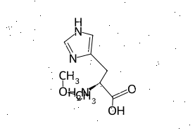 COC.N[C@@H](Cc1c[nH]cn1)C(=O)O